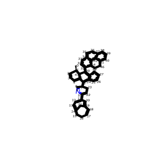 C[C@@H]1C=CC=C2C(C3C=NC(C4=CC=C5CCC=CC(=C4)C5)=CC3)=c3ccccc3=C(c3ccc4ccc5cccc6c5c4c3CC6)C21